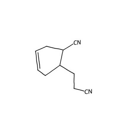 N#CCCC1CC=CCC1C#N